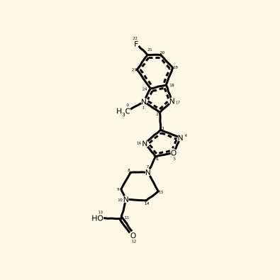 Cn1c(-c2noc(N3CCN(C(=O)O)CC3)n2)nc2ccc(F)cc21